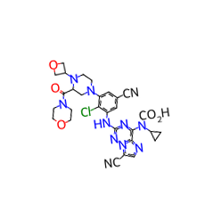 N#Cc1cc(Nc2nc(N(C(=O)O)C3CC3)c3ncc(C#N)n3n2)c(Cl)c(N2CCN(C3COC3)C(C(=O)N3CCOCC3)C2)c1